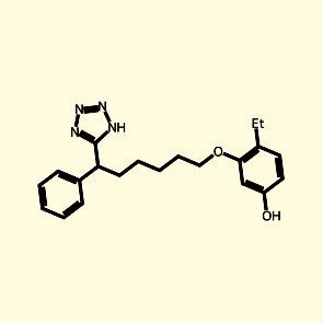 CCc1ccc(O)cc1OCCCCCC(c1ccccc1)c1nnn[nH]1